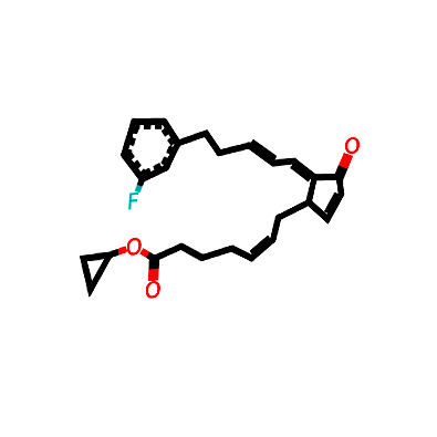 O=C(CCC/C=C\CC1C=CC(=O)/C1=C/C=C/CCc1cccc(F)c1)OC1CC1